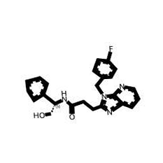 O=C(CCc1nc2cccnc2n1Cc1ccc(F)cc1)N[C@H](CO)c1ccccc1